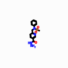 CS(=O)(=O)N(Cc1ccc(C(=O)NN)cn1)c1ccccc1